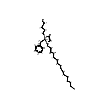 CCCCCCCCCCCCCCCCN1C=CN(CCCCC)C1Cc1ccccc1